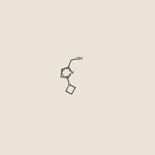 OCc1csc(N2CCC2)n1